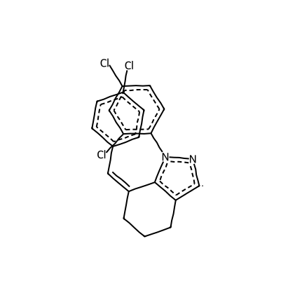 Clc1ccc(/C=C2/CCCc3[c]nn(-c4ccc(Cl)cc4Cl)c32)cc1